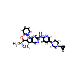 CN(C)C(=O)C1Cc2cnc(Nc3ccc(N4CCN(C5CC5)CC4)cn3)nc2N1N1CCCCC1